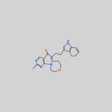 Cc1ncc(C(=O)NCCc2c[nH]c3c2CCC=C3)c(N2CCCOCC2)n1